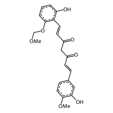 COCOc1cccc(O)c1C=CC(=O)CC(=O)C=Cc1ccc(OC)c(O)c1